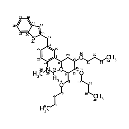 CCCCOCC1OC(c2cc(Cc3cc4ccccc4s3)ccc2N(C)C)CC(OCCCC)[C@@H]1OCCCC